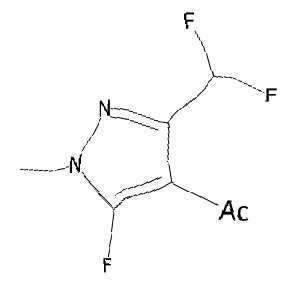 CC(=O)c1c(C(F)F)nn(C)c1F